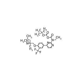 CCN(C(=O)OC(=O)OC(C)(C)C)c1nccc(-c2ccc(OCC(C)(N)CC(C)C)c(C(F)(F)F)c2)n1